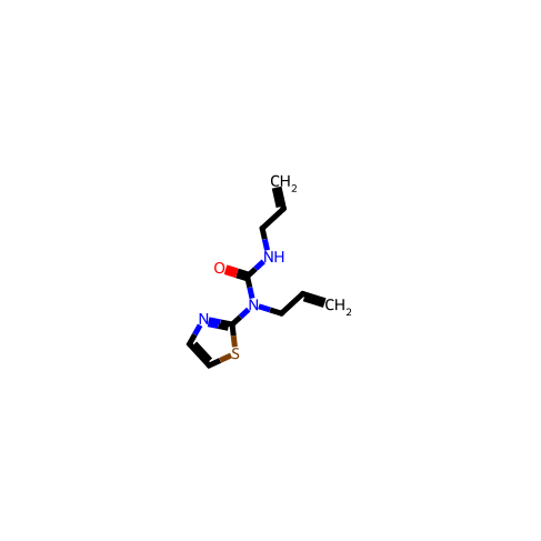 C=CCNC(=O)N(CC=C)c1nccs1